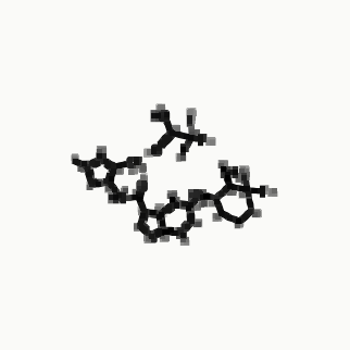 Cn1cc(NC(=O)c2csc3ncc(N[C@@H]4CCCC(F)(F)[C@@H]4N)nc23)c(C(F)(F)F)n1.O=C(O)C(F)(F)F